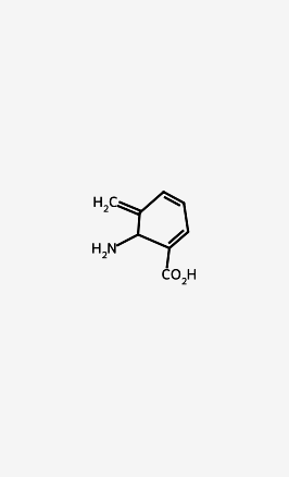 C=C1C=CC=C(C(=O)O)C1N